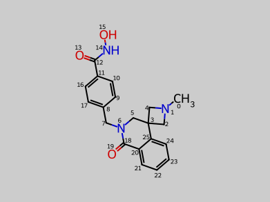 CN1CC2(C1)CN(Cc1ccc(C(=O)NO)cc1)C(=O)c1ccccc12